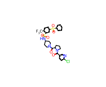 O=C([C@H]1CCCN1C(=O)c1ccc(Cl)nc1)N1CCC(NS(=O)(=O)c2cc(S(=O)(=O)c3ccccc3)ccc2C(F)(F)F)CC1